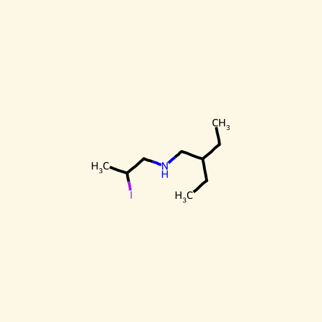 CCC(CC)CNCC(C)I